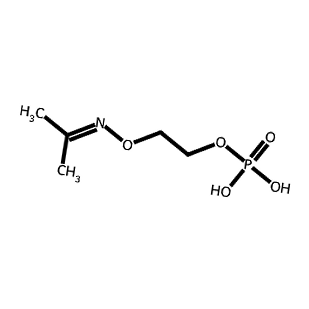 CC(C)=NOCCOP(=O)(O)O